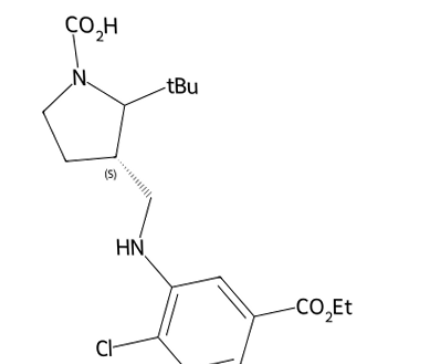 CCOC(=O)c1ccc(Cl)c(NC[C@@H]2CCN(C(=O)O)C2C(C)(C)C)c1